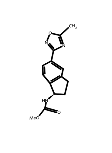 COC(=O)N[C@@H]1CCc2cc(-c3noc(C)n3)ccc21